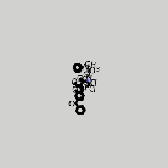 CN(C(=O)O/N=C(\C(=O)c1cc2ccc(C(=O)c3ccccc3)cc2oc1=O)C(Cl)(Cl)Cl)c1ccccc1